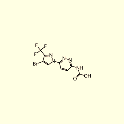 O=C(O)Nc1ccc(-n2cc(Br)c(C(F)(F)F)n2)nn1